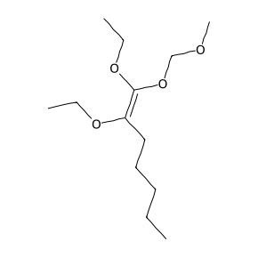 CCCCCC(OCC)=C(OCC)OCOC